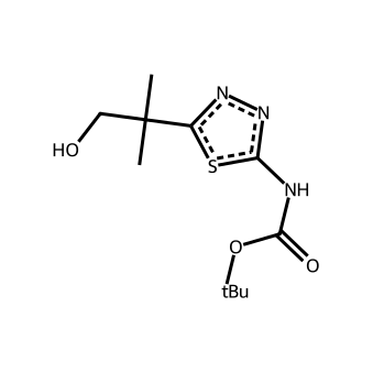 CC(C)(C)OC(=O)Nc1nnc(C(C)(C)CO)s1